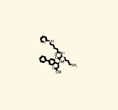 NCCCC[C@@H](NC(=O)CCCCNc1ccccn1)C(=O)NC(CC(=O)O)c1ccc(-c2ccccc2)cc1